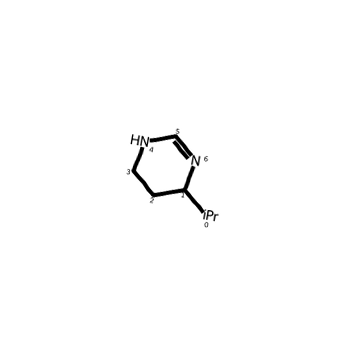 CC(C)C1CCNC=N1